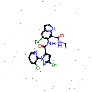 CCNC(=O)c1c(NC(=O)c2cc(Br)nn2-c2ncccc2Cl)c(Br)cc2ccnn12